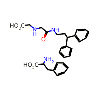 NC(Cc1ccccc1)C(=O)O.O=C(O)CNCC(=O)NCCC(c1ccccc1)c1ccccc1